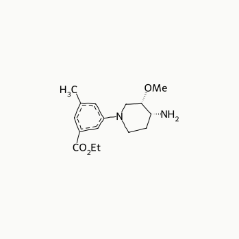 CCOC(=O)c1cc(C)cc(N2CC[C@@H](N)[C@@H](OC)C2)c1